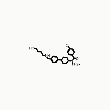 CCCCCCN(C(=O)c1ccc(Cl)cc1)C1CCC(c2ccc(CNCCCCO)cc2)CC1